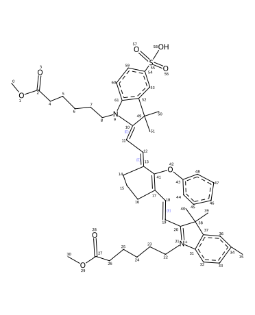 COC(=O)CCCCCN1/C(=C/C=C2\CCCC(/C=C/C3=[N+](CCCCCC(=O)OC)c4ccc(C)cc4C3(C)C)=C2Oc2ccccc2)C(C)(C)c2cc(S(=O)(=O)O)ccc21